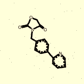 O=C1COC(=O)N1Cc1ccc(-c2ccccn2)cc1